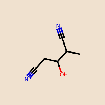 CC(C#N)C(O)CC#N